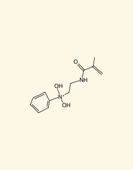 C=C(C)C(=O)NCC[N+](O)(O)c1ccccc1